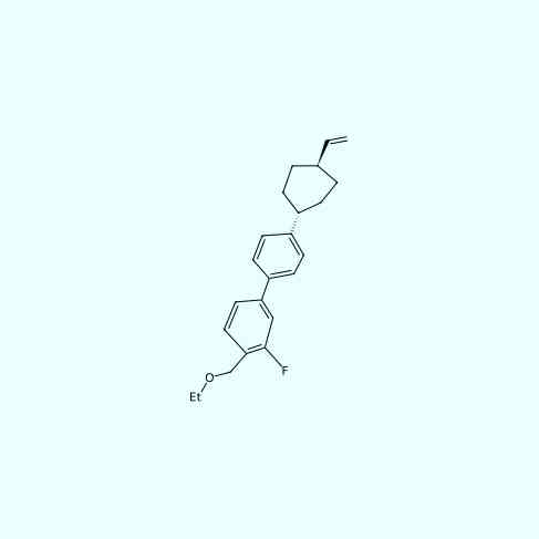 C=C[C@H]1CC[C@H](c2ccc(-c3ccc(COCC)c(F)c3)cc2)CC1